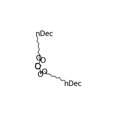 CCCCCCCCCCCCCCCCCCOC(=O)c1cccc(C(=O)OCCCCCCCCCCCCCCCCCC)c1